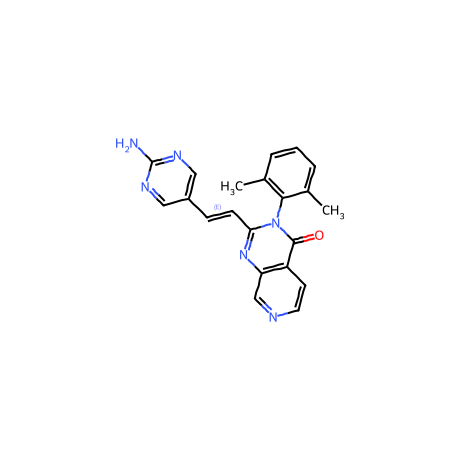 Cc1cccc(C)c1-n1c(/C=C/c2cnc(N)nc2)nc2cnccc2c1=O